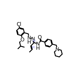 C/C=C/C(=N\NCc1cc(Cl)ccc1OCC(C)C)NC(=O)c1ccc(CN2CCCCC2)cc1